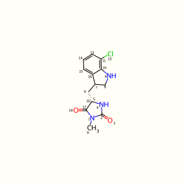 CN1C(=O)N[C@@H](CC2CNc3c(Cl)cccc32)C1=O